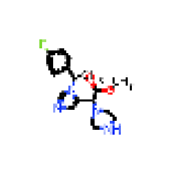 COC(=O)C(c1cncn1[C@H](C)c1ccc(F)cc1)N1CCNCC1